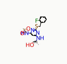 C[C@H](CO)Nc1cc(NS(C)(=O)=O)nc(SCc2ccccc2F)n1